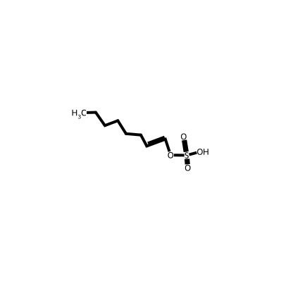 CCCCCCC=COS(=O)(=O)O